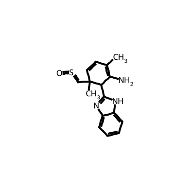 CC1=C(N)C(c2nc3ccccc3[nH]2)C(C)(C=S=O)C=C1